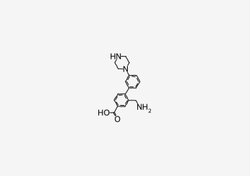 NCc1cc(C(=O)O)ccc1-c1cccc(N2CCNCC2)c1